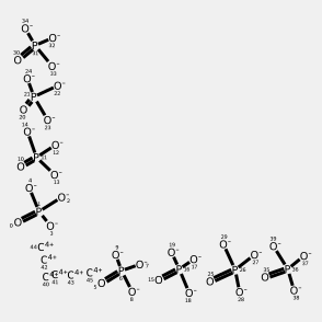 O=P([O-])([O-])[O-].O=P([O-])([O-])[O-].O=P([O-])([O-])[O-].O=P([O-])([O-])[O-].O=P([O-])([O-])[O-].O=P([O-])([O-])[O-].O=P([O-])([O-])[O-].O=P([O-])([O-])[O-].[C+4].[C+4].[C+4].[C+4].[C+4].[C+4]